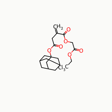 C=C(CC(=O)OC12CC3CC(CC(C3)C1)C2)C(=O)OCC(=O)OCC(Cl)(Cl)Cl